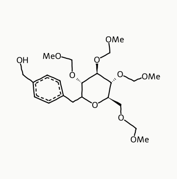 COCOC[C@H]1OC(Cc2ccc(CO)cc2)[C@H](OCOC)[C@@H](OCOC)[C@@H]1OCOC